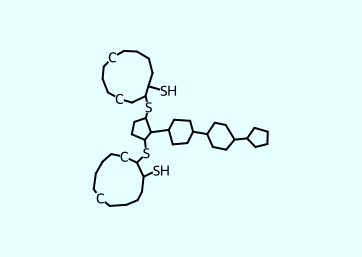 SC1CCCCCCCCCCC1SC1CCC(SC2CCCCCCCCCCC2S)C1C1CCC(C2CCC(C3CCCC3)CC2)CC1